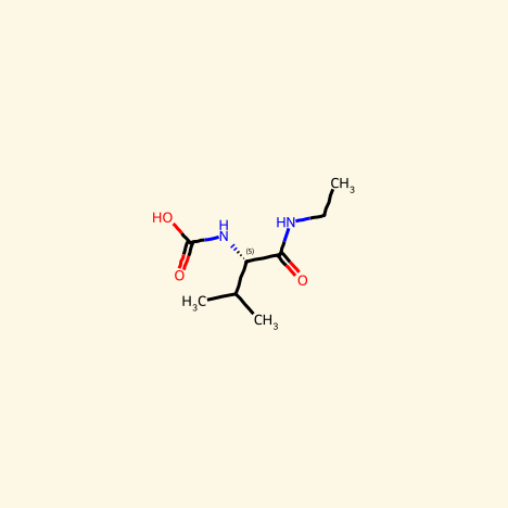 CCNC(=O)[C@@H](NC(=O)O)C(C)C